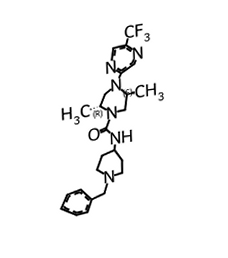 C[C@@H]1CN(c2cnc(C(F)(F)F)cn2)[C@@H](C)CN1C(=O)NC1CCN(Cc2ccccc2)CC1